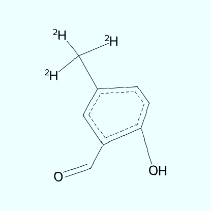 [2H]C([2H])([2H])c1ccc(O)c(C=O)c1